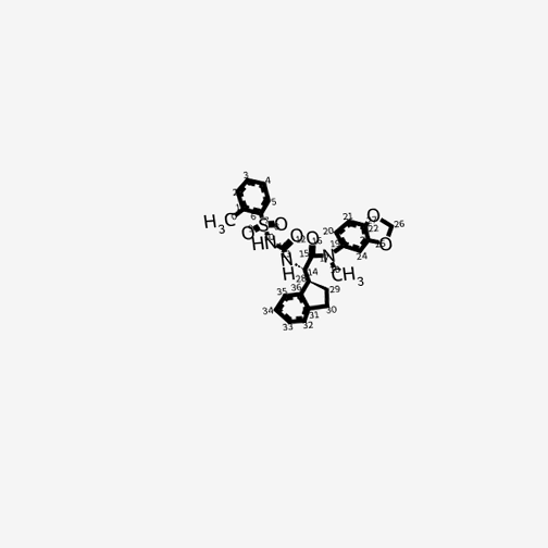 Cc1ccccc1S(=O)(=O)NC(=O)N[C@H](C(=O)N(C)c1ccc2c(c1)OCO2)[C@H]1CCc2ccccc21